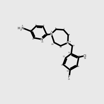 Nc1ccc(N2CCCN(Cc3ccc(F)cc3Cl)CC2)nc1